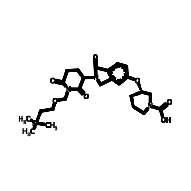 C[Si](C)(C)CCOCN1C(=O)CCC(N2Cc3cc(O[C@@H]4CCCN(C(=O)O)C4)ccc3C2=O)C1=O